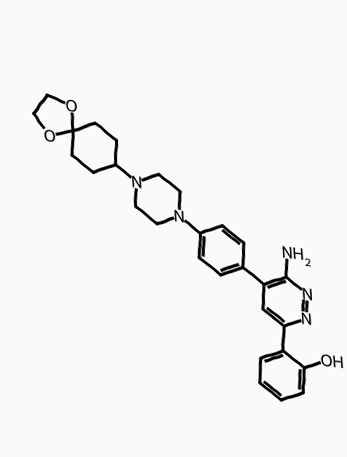 Nc1nnc(-c2ccccc2O)cc1-c1ccc(N2CCN(C3CCC4(CC3)OCCO4)CC2)cc1